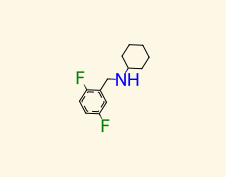 Fc1ccc(F)c(CNC2CCCCC2)c1